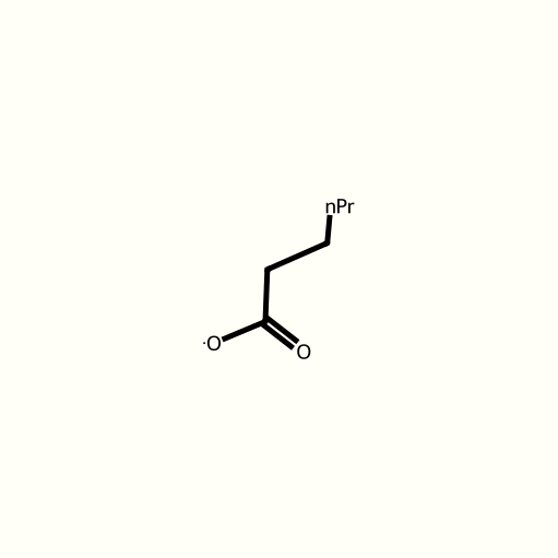 [CH2]CCCCC([O])=O